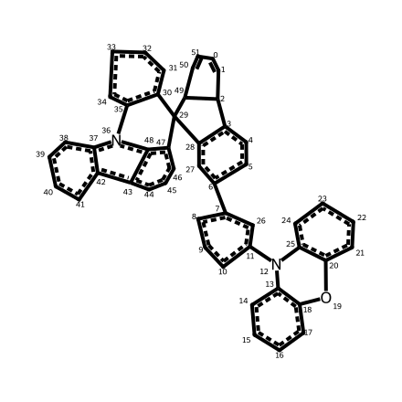 C1=CC2c3ccc(-c4cccc(N5c6ccccc6Oc6ccccc65)c4)cc3C3(c4ccccc4-n4c5ccccc5c5cccc3c54)C2C=C1